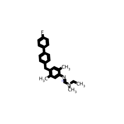 CCN(C)/C=N/c1cc(C)c(Cc2ccc(-c3ccc(F)cc3)cc2)cc1C